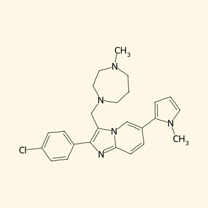 CN1CCCN(Cc2c(-c3ccc(Cl)cc3)nc3ccc(-c4cccn4C)cn23)CC1